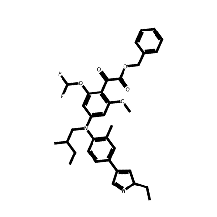 CCC(C)CN(c1cc(OC)c(C(=O)C(=O)OCc2ccccc2)c(OC(F)F)c1)c1ccc(C2=CC(CC)N=C2)cc1C